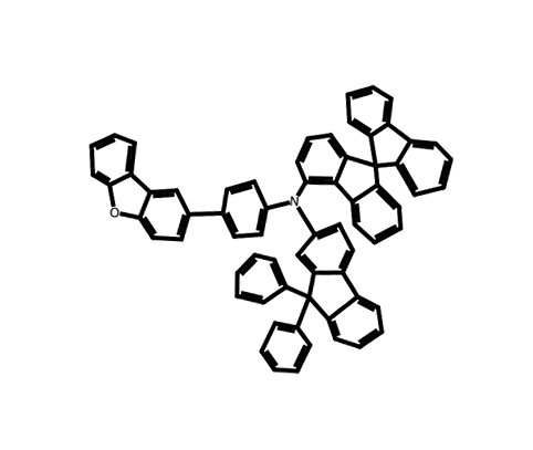 c1ccc(C2(c3ccccc3)c3ccccc3-c3ccc(N(c4ccc(-c5ccc6oc7ccccc7c6c5)cc4)c4cccc5c4-c4ccccc4C54c5ccccc5-c5ccccc54)cc32)cc1